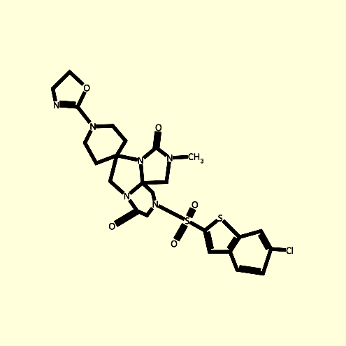 CN1CC23CN(S(=O)(=O)c4cc5ccc(Cl)cc5s4)CC(=O)N2CC2(CCN(C4=NCCO4)CC2)N3C1=O